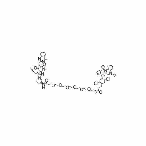 CC#CCn1c(N2CCC[C@H](NC(=O)CCOCCOCCOCCOCCOCCOCCN(C)C(=O)CCc3cc(Cl)c(Oc4sccc4C(=O)N4CCN(C5CC5)c5ccccc54)cc3Cl)C2)nc2c1c(=O)n(Cc1nc(C)c3ccccc3n1)c(=O)n2C